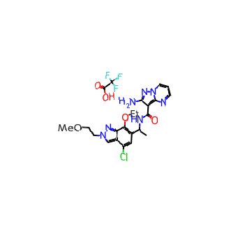 CCOc1c(C(C)NC(=O)c2c(N)nn3cccnc23)cc(Cl)c2cn(CCOC)nc12.O=C(O)C(F)(F)F